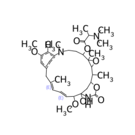 COc1cc2cc(c1Cl)N(C)CCC(OC(=O)C(C)N(C)C)C1(C)OC1C(C)C1CC(O)(NC(=O)O1)C(OC)/C=C/C=C(\C)C2